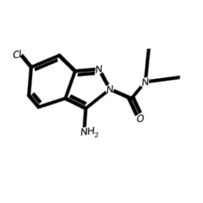 CN(C)C(=O)n1nc2cc(Cl)ccc2c1N